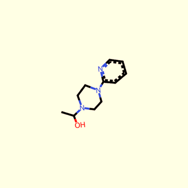 CC(O)N1CCN(c2ccccn2)CC1